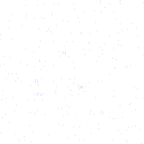 CCc1cccc(-c2cn[nH]c(=O)c2Nc2cccnc2)n1